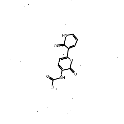 CC(=O)Nc1ccc(-c2ccc[nH]c2=O)oc1=O